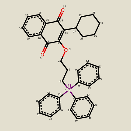 O=C1C(OCCC[PH](c2ccccc2)(c2ccccc2)c2ccccc2)=C(C2CCCCC2)C(=O)c2ccccc21